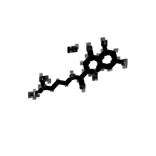 Br.CN(C)CCCOC(=O)c1cc(=O)c2c(Cl)cc(Cl)cc2[nH]1